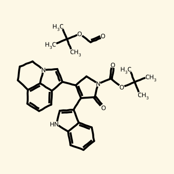 CC(C)(C)OC(=O)N1CC(c2cn3c4c(cccc24)CCC3)=C(c2c[nH]c3ccccc23)C1=O.CC(C)(C)OC=O